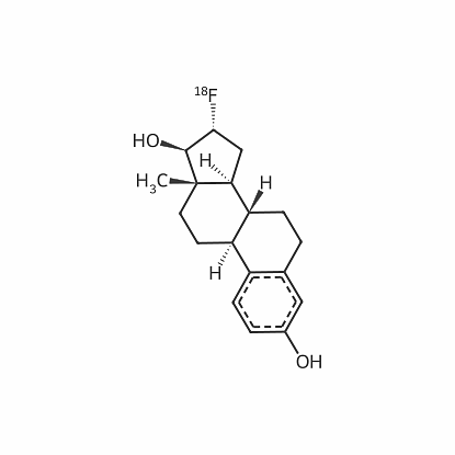 C[C@]12CC[C@@H]3c4ccc(O)cc4CC[C@H]3[C@@H]1C[C@@H]([18F])[C@@H]2O